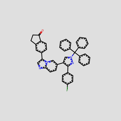 O=C1CCc2cc(-c3cnc4ccc(-c5cn(C(c6ccccc6)(c6ccccc6)c6ccccc6)nc5-c5ccc(F)cc5)cn34)ccc21